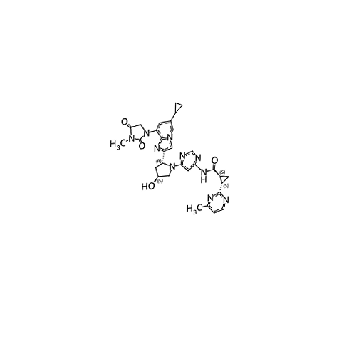 Cc1ccnc([C@H]2C[C@@H]2C(=O)Nc2cc(N3C[C@@H](O)C[C@@H]3c3cn4cc(C5CC5)cc(N5CC(=O)N(C)C5=O)c4n3)ncn2)n1